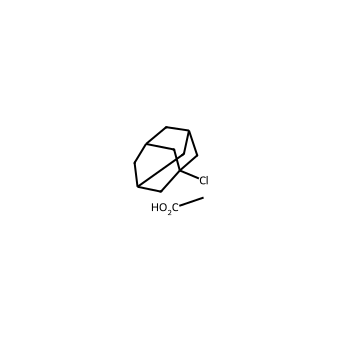 CC(=O)O.ClC12CC3CC(CC(C3)C1)C2